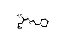 C/C(CCC(C)(C)C)=N/OCCN1CCCCC1